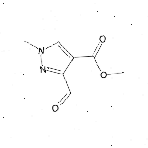 COC(=O)c1cn(C)nc1C=O